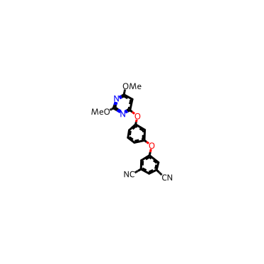 COc1cc(Oc2cccc(Oc3cc(C#N)cc(C#N)c3)c2)nc(OC)n1